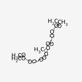 C=C(C)C(=O)OCCCOc1ccc(C=COCOc2ccc3c(c2)C(C)c2cc(OC(=O)C=Cc4ccc(OCCCOC(=O)C(=C)C)cc4)ccc2-3)cc1